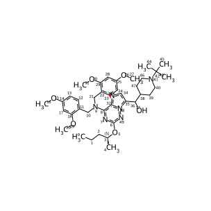 CCC[C@H](C)Oc1nc(N(Cc2ccc(OC)cc2OC)Cc2ccc(OC)cc2OC)c2ncc(C(O)C3CCN(C(C)(C)C)CC3)n2n1